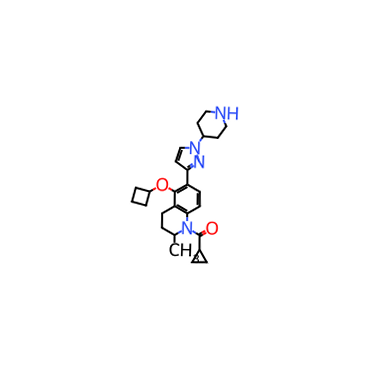 CC1CCc2c(ccc(-c3ccn(C4CCNCC4)n3)c2OC2CCC2)N1C(=O)C1CC1